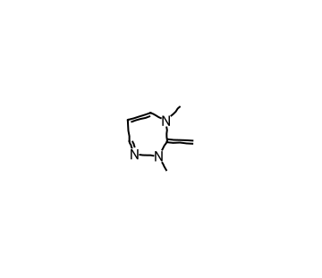 C=C1N(C)C=CC=NN1C